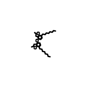 CCCCCCCCc1ccc(Oc2ccc(CCCCCCCC)c3c2CC(C)O3)c2c1OC(C)C2